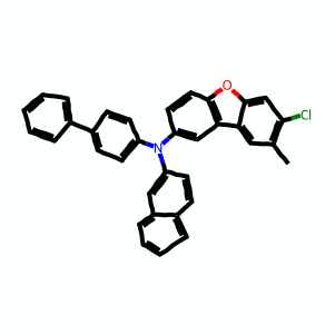 Cc1cc2c(cc1Cl)oc1ccc(N(c3ccc(-c4ccccc4)cc3)c3ccc4ccccc4c3)cc12